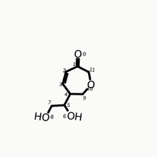 O=C1C=CC(C(O)CO)COC1